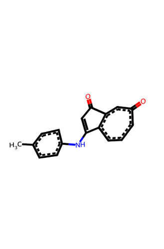 Cc1ccc(NC2=CC(=O)c3cc(=O)cccc32)cc1